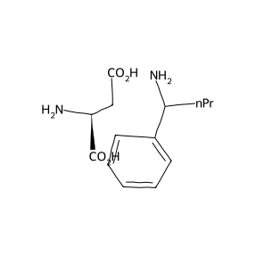 CCCC(N)c1ccccc1.N[C@@H](CC(=O)O)C(=O)O